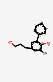 CC(C)(C)c1cc(CCCO)cc(-c2ccccc2)c1O